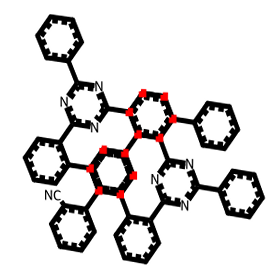 N#Cc1ccccc1-c1c(-c2ccccc2-c2nc(-c3ccccc3)nc(-c3ccccc3-c3ccccc3)n2)cccc1-c1ccccc1-c1nc(-c2ccccc2)nc(-c2ccccc2-c2ccccc2)n1